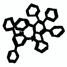 c1ccc(-c2cc(-c3ccccc3)nc(-n3c4ccccc4c4c(-c5ccccc5)c(-c5ccccc5)c(-c5ccccc5)c(-c5ccccc5)c43)c2)cc1